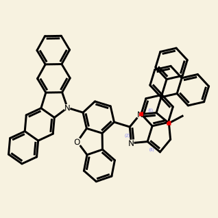 CC1C/C=C(c2ccc(-c3ccccc3)cc2)/N=C(c2ccc(-n3c4cc5ccccc5cc4c4cc5ccccc5cc43)c3oc4ccccc4c23)\N=C/1c1cccc2ccccc12